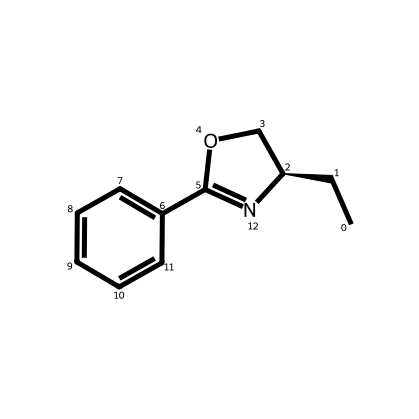 CC[C@@H]1COC(c2ccccc2)=N1